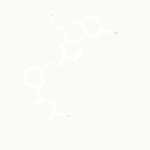 CCC[C@@H](CC(=O)OC)c1cccc(OCc2ccc(-c3cc(OC)ccc3F)c(COC(C)(C)C)c2)c1